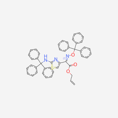 C=CCOC(=O)/C(=N\OC(c1ccccc1)(c1ccccc1)c1ccccc1)c1csc(NC(c2ccccc2)(c2ccccc2)c2ccccc2)n1